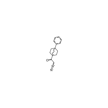 [N-]=[N+]=CC(=O)C12CCC(c3ccccc3)(CC1)CC2